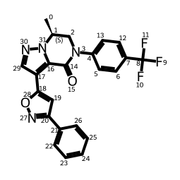 C[C@H]1CN(c2ccc(C(F)(F)F)cc2)C(=O)c2c(-c3cc(-c4ccccc4)no3)cnn21